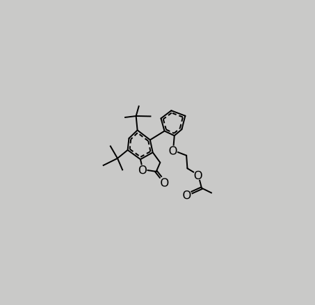 CC(=O)OCCOc1ccccc1-c1c(C(C)(C)C)cc(C(C)(C)C)c2c1CC(=O)O2